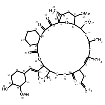 C=CCC1C=C(C)CC(C)CC(OC)C2OC(O)(C(=O)C(=O)N3CCCCC3C(=O)OC(C(C)=CC3CCC(O)C(OC)C3)C(C)CCC1=O)C(C)CC2OC